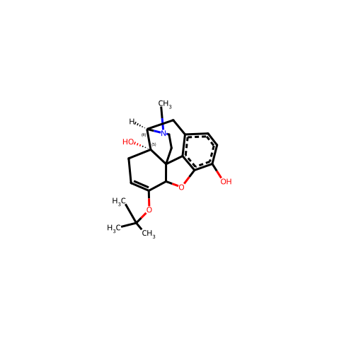 CN1CCC23c4c5ccc(O)c4OC2C(OC(C)(C)C)=CC[C@@]3(O)[C@H]1C5